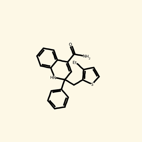 CCc1ccsc1CC1(c2ccccc2)C=C(C(N)=O)c2ccccc2N1